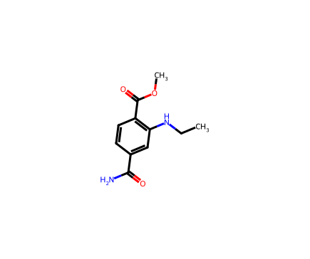 CCNc1cc(C(N)=O)ccc1C(=O)OC